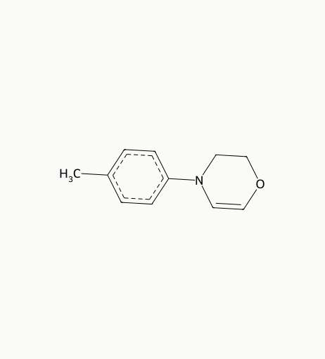 Cc1ccc(N2C=COCC2)cc1